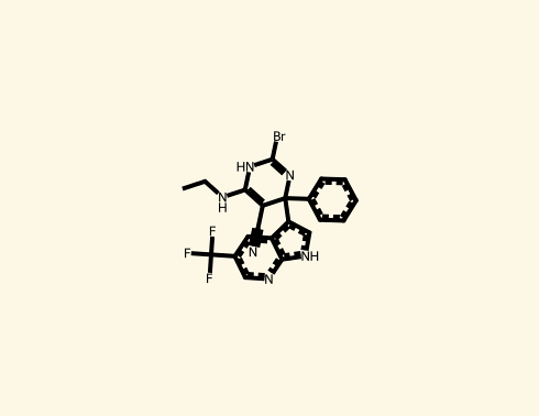 CCNC1=C(C#N)C(c2ccccc2)(c2c[nH]c3ncc(C(F)(F)F)cc23)N=C(Br)N1